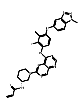 C=CC(=O)N[C@@H]1CCCN(c2ncc3ncnc(Nc4ccc(Oc5ccc6c(c5)nnn6C)c(C)c4F)c3n2)C1